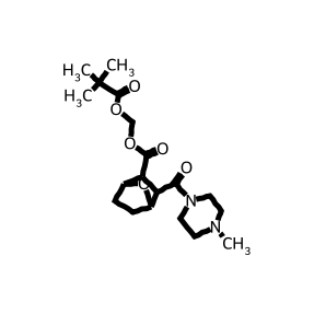 CN1CCN(C(=O)C2C3CCC(O3)C2C(=O)OCOC(=O)C(C)(C)C)CC1